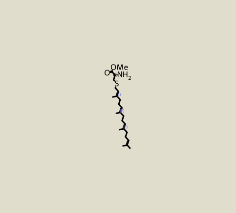 COC(=O)[C@@H](N)CSC/C=C(\C)CC/C=C(\C)CC/C=C(\C)CCC=C(C)C